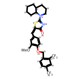 COc1cc(/C=C2/SC(N3CCCC4CCCCC43)=NC2=O)ccc1OCc1ccc(C(F)(F)F)cc1C(F)(F)F